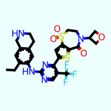 CCc1cc2c(cc1Nc1ncc(C(F)(F)F)c(-c3cc4c(s3)C(=O)N(C3COC3)CCS4(=O)=O)n1)CCNC2